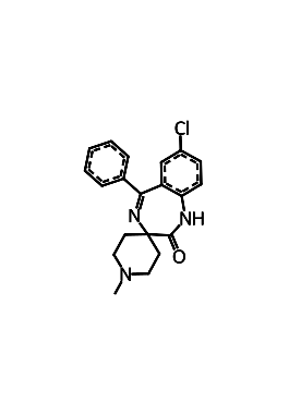 CN1CCC2(CC1)N=C(c1ccccc1)c1cc(Cl)ccc1NC2=O